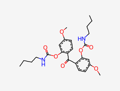 CCCCNC(=O)Oc1cc(OC)ccc1C(=O)c1ccc(OC)cc1OC(=O)NCCCC